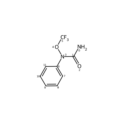 NC(=O)N(OC(F)(F)F)c1ccccc1